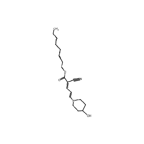 CCCCCCCCOC(=O)/C(C#N)=C/C=C/N1CCC(O)CC1